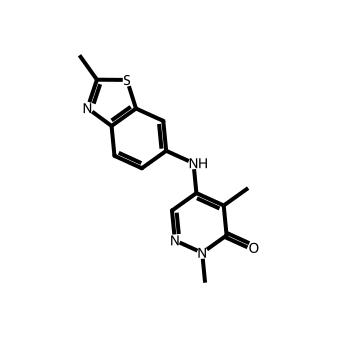 Cc1nc2ccc(Nc3cnn(C)c(=O)c3C)cc2s1